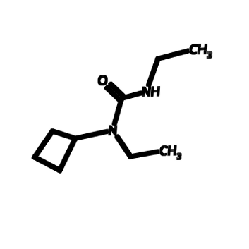 CCNC(=O)N(CC)C1CCC1